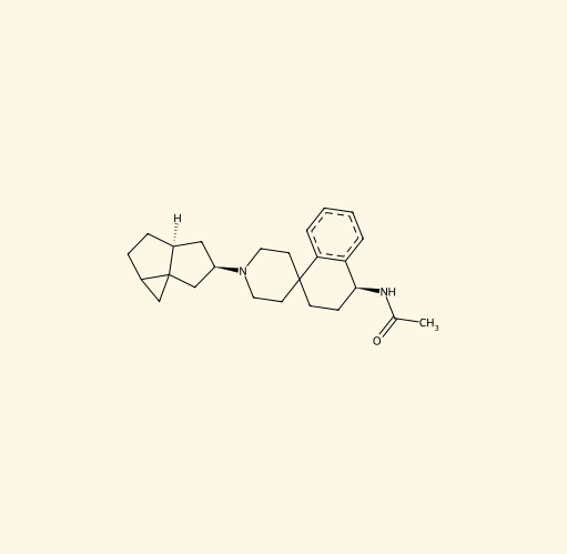 CC(=O)N[C@H]1CCC2(CCN([C@@H]3C[C@@H]4CCC5CC54C3)CC2)c2ccccc21